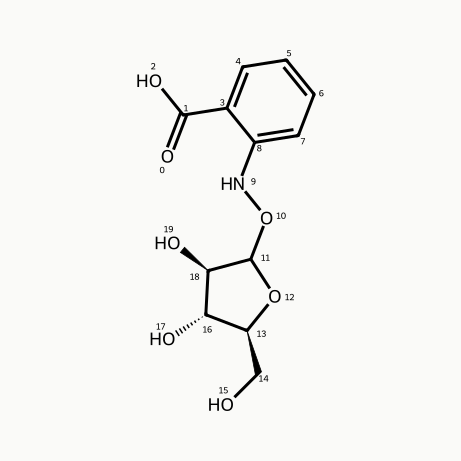 O=C(O)c1ccccc1NOC1O[C@@H](CO)[C@H](O)[C@H]1O